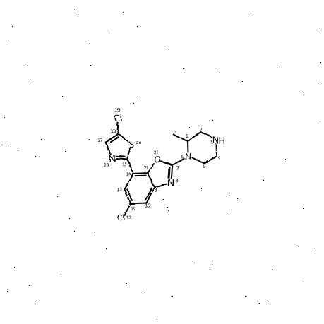 CC1CNCCN1c1nc2cc(Cl)cc(-c3ncc(Cl)s3)c2o1